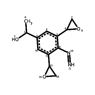 CC(O)c1cc(C2CO2)c(N=N)c(C2CO2)c1